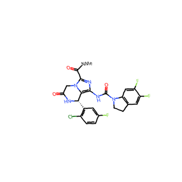 CNC(=O)c1nc(NC(=O)N2CCc3cc(F)c(F)cc32)c2n1CC(=O)N[C@H]2c1cc(F)ccc1Cl